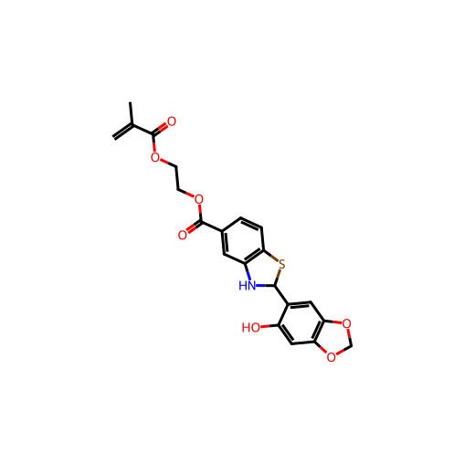 C=C(C)C(=O)OCCOC(=O)c1ccc2c(c1)NC(c1cc3c(cc1O)OCO3)S2